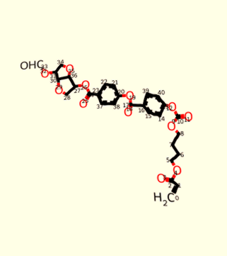 C=CC(=O)OCCCCOC(=O)Oc1ccc(C(=O)Oc2ccc(C(=O)OC3COC4C(OC=O)COC34)cc2)cc1